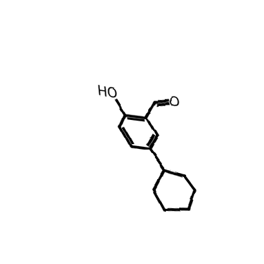 O=Cc1cc(C2CCCCC2)ccc1O